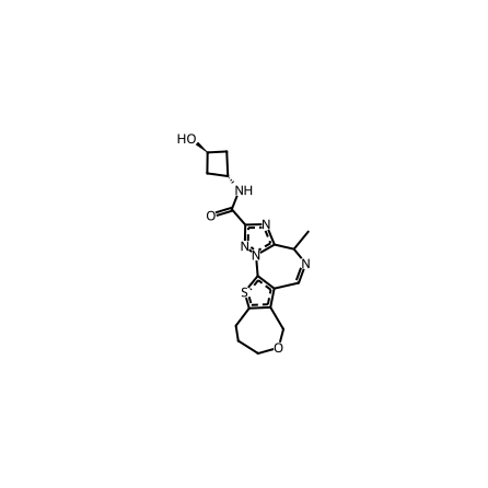 CC1N=Cc2c(sc3c2COCCC3)-n2nc(C(=O)N[C@H]3C[C@H](O)C3)nc21